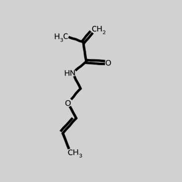 C=C(C)C(=O)NCOC=CC